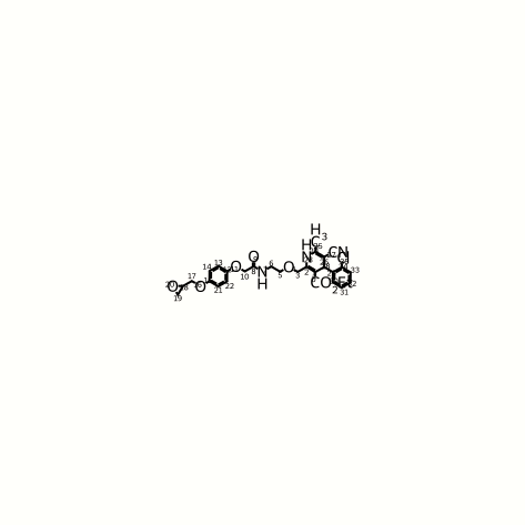 CCOC(=O)C1=C(COCCNC(=O)COc2ccc(OCC3CO3)cc2)NC(C)=C(C#N)C1c1ccccc1Cl